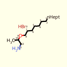 Br.CCCCCCCCCCCCCCOC(C)CN